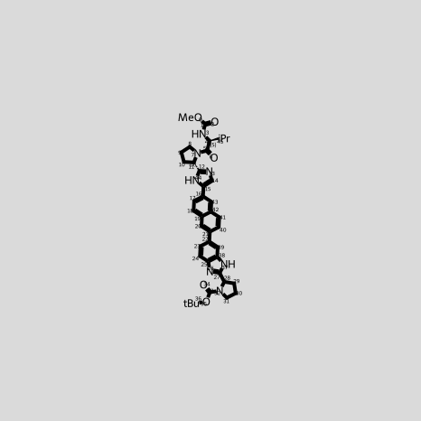 COC(=O)N[C@H](C(=O)N1CCC[C@H]1c1ncc(-c2ccc3cc(-c4ccc5nc(C6CCCN6C(=O)OC(C)(C)C)[nH]c5c4)ccc3c2)[nH]1)C(C)C